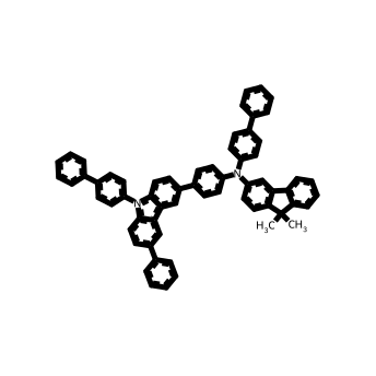 CC1(C)c2ccccc2-c2cc(N(c3ccc(-c4ccccc4)cc3)c3ccc(-c4ccc5c(c4)c4cc(-c6ccccc6)ccc4n5-c4ccc(-c5ccccc5)cc4)cc3)ccc21